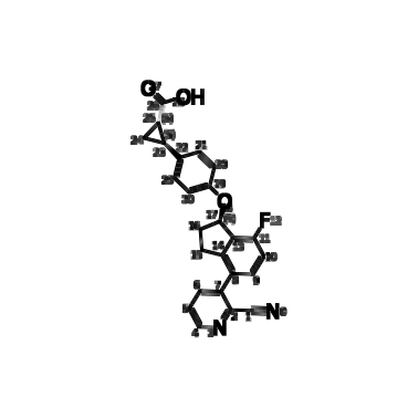 N#Cc1ncccc1-c1ccc(F)c2c1CC[C@H]2Oc1ccc([C@H]2C[C@@H]2C(=O)O)cc1